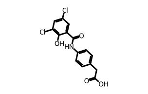 O=C(O)Cc1ccc(NC(=O)c2cc(Cl)cc(Cl)c2O)cc1